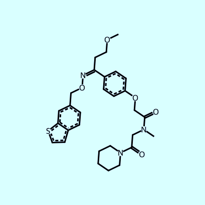 COCCC(=NOCc1ccc2ccsc2c1)c1ccc(OCC(=O)N(C)CC(=O)N2CCCCC2)cc1